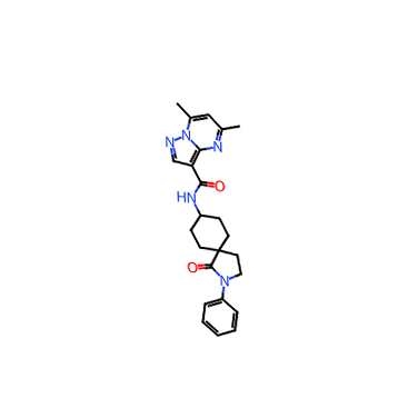 Cc1cc(C)n2ncc(C(=O)NC3CCC4(CC3)CCN(c3ccccc3)C4=O)c2n1